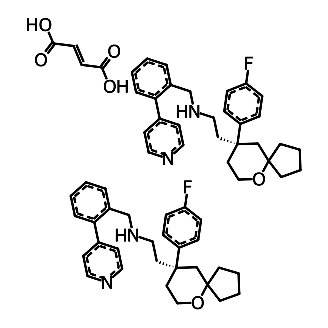 Fc1ccc([C@]2(CCNCc3ccccc3-c3ccncc3)CCOC3(CCCC3)C2)cc1.Fc1ccc([C@]2(CCNCc3ccccc3-c3ccncc3)CCOC3(CCCC3)C2)cc1.O=C(O)/C=C/C(=O)O